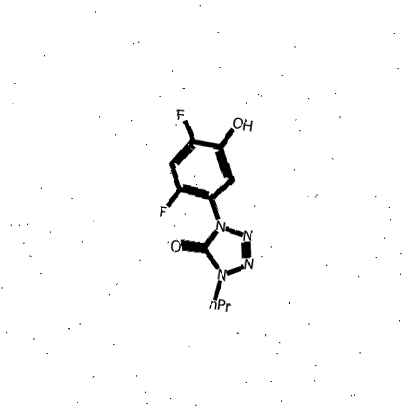 CCCn1nnn(-c2cc(O)c(F)cc2F)c1=O